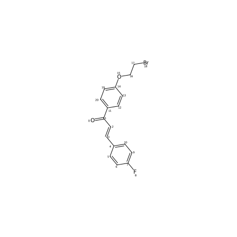 O=C(C=Cc1ccc(F)cc1)c1ccc(OCCBr)cc1